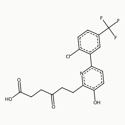 O=C(O)CCC(=O)CCc1nc(-c2cc(C(F)(F)F)ccc2Cl)ccc1O